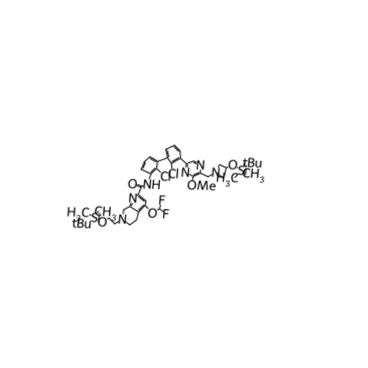 COc1nc(-c2cccc(-c3cccc(NC(=O)c4cc(OC(F)F)c5c(n4)CN(CCO[Si](C)(C)C(C)(C)C)CC5)c3Cl)c2Cl)cnc1CN1CC(O[Si](C)(C)C(C)(C)C)C1